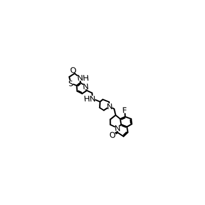 O=C1CSc2ccc(CNC3CCN(CC4CCn5c(=O)ccc6ccc(F)c4c65)CC3)nc2N1